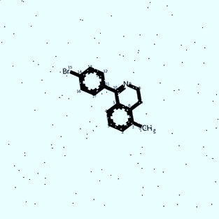 Cc1cccc2c1CCN=C2c1ccc(Br)cc1